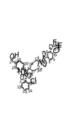 O=S(=O)(c1ccc2c(c1)OC(F)(F)O2)N1CCC(N(c2ccc(CO)cn2)S(=O)(=O)c2ccccc2Cl)CC1